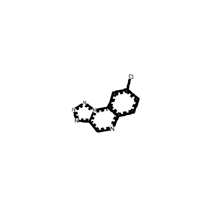 Clc1ccc2ncc3nnnn3c2c1